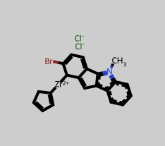 Cn1c2c(c3ccccc31)C=C1C2=CC=C(Br)[CH]1[Zr+2][C]1=CC=CC1.[Cl-].[Cl-]